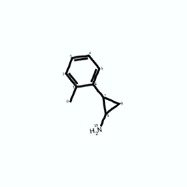 Cc1ccccc1C1CC1N